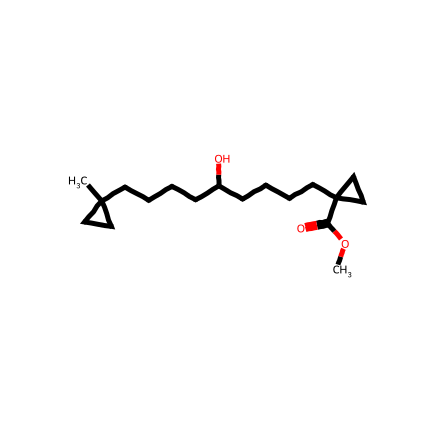 COC(=O)C1(CCCCC(O)CCCCC2(C)CC2)CC1